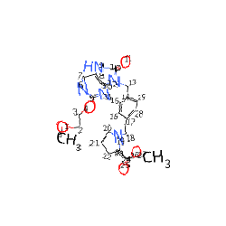 COCCOc1ncc2[nH]c(=O)n(Cc3ccc(CN4CCC[C@@H]4C(=O)OC)cc3)c2n1